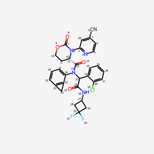 N#Cc1ccnc(N2C(=O)OCC[C@H]2C(=O)N(c2cccc3c2C3)C(C(=O)NC2CC(F)(F)C2)c2ccccc2Cl)c1